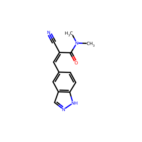 CN(C)C(=O)C(C#N)=Cc1ccc2[nH]ncc2c1